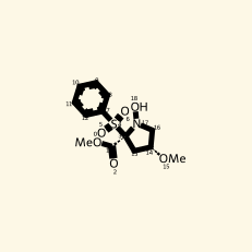 COC(=O)[C@@]1(S(=O)(=O)c2ccccc2)C[C@@H](OC)CN1O